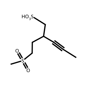 CC#CC(CCS(C)(=O)=O)CS(=O)(=O)O